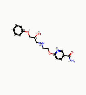 NC(=O)c1ccc(OCCNCC(O)COc2ccccc2)nc1